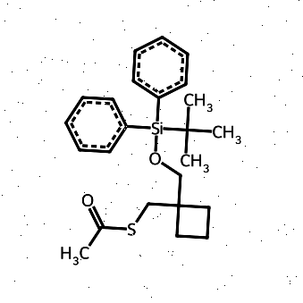 CC(=O)SCC1(CO[Si](c2ccccc2)(c2ccccc2)C(C)(C)C)CCC1